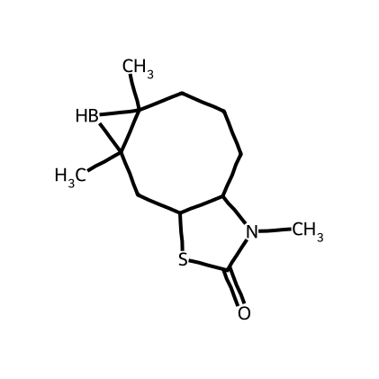 CN1C(=O)SC2CC3(C)BC3(C)CCCC21